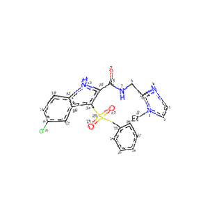 CCn1ccnc1CNC(=O)c1[nH]c2ccc(Cl)cc2c1S(=O)(=O)c1ccccc1